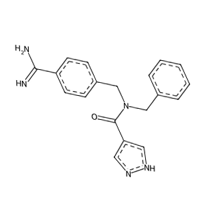 N=C(N)c1ccc(CN(Cc2ccccc2)C(=O)c2cn[nH]c2)cc1